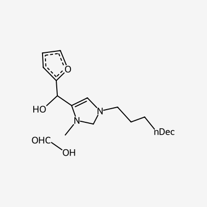 CCCCCCCCCCCCCN1C=C(C(O)c2ccco2)N(C)C1.O=CO